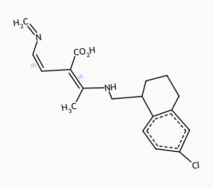 C=N/C=C\C(C(=O)O)=C(/C)NCC1CCCc2cc(Cl)ccc21